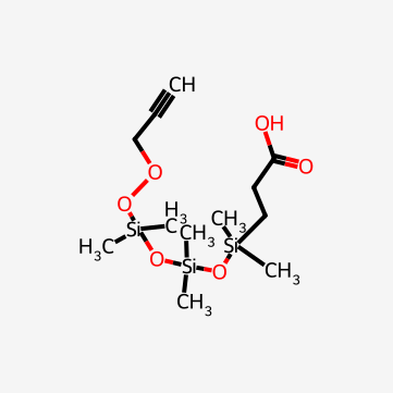 C#CCOO[Si](C)(C)O[Si](C)(C)O[Si](C)(C)CCC(=O)O